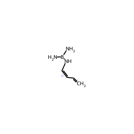 C=C/C=C\NB(N)N